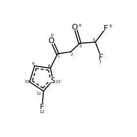 O=C(CC(=O)C(F)F)c1ccc(F)s1